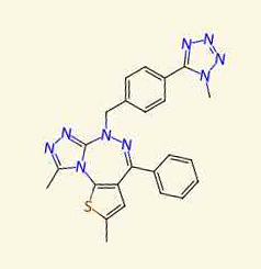 Cc1cc2c(s1)-n1c(C)nnc1N(Cc1ccc(-c3nnnn3C)cc1)N=C2c1ccccc1